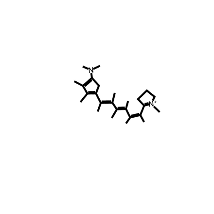 CC1=C(/C(C)=C(C)/C(C)=C(C)/C(C)=C(/C)C2=[N+](C)CCC2)CC(N(C)C)=C1C